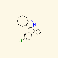 Clc1ccc(C2(c3cc4c(nn3)CCCCCC4)CCC2)cc1